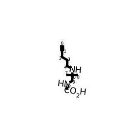 C#CCCCNC(C)(C)CNC(=O)O